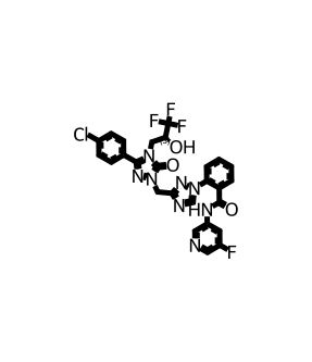 O=C(Nc1cncc(F)c1)c1ccccc1-n1cnc(Cn2nc(-c3ccc(Cl)cc3)n(C[C@H](O)C(F)(F)F)c2=O)n1